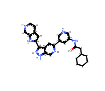 O=C(CC1CCCCC1)Nc1cncc(-c2cc3c(-c4cc5ccncc5[nH]4)n[nH]c3cn2)c1